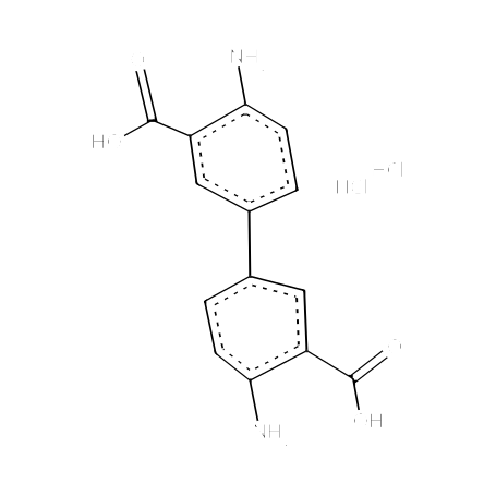 Cl.Cl.Nc1ccc(-c2ccc(N)c(C(=O)O)c2)cc1C(=O)O